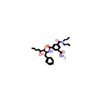 CCCCC(O)C(O)C(Cc1ccccc1)NC(=O)c1cc(C(N)=O)cc(C(=O)N(CCC)CCC)c1